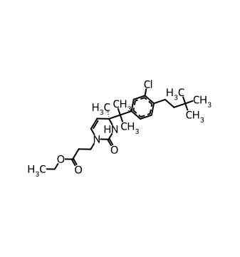 CCOC(=O)CCN1C=C[C@@](C)(C(C)(C)c2ccc(CCC(C)(C)C)c(Cl)c2)NC1=O